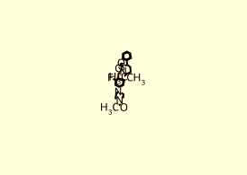 CC(=O)N1CCN(c2ccc(CN3C(C)(C)CCC(c4ccccc4)S3(=O)=O)c(F)c2)CC1